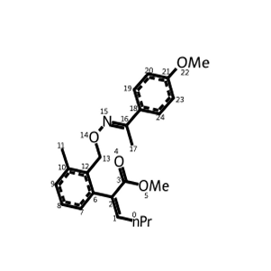 CCC/C=C(\C(=O)OC)c1cccc(C)c1CO/N=C(\C)c1ccc(OC)cc1